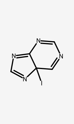 IC12C=NC=NC1=NC=N2